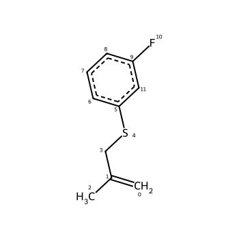 C=C(C)CSc1cccc(F)c1